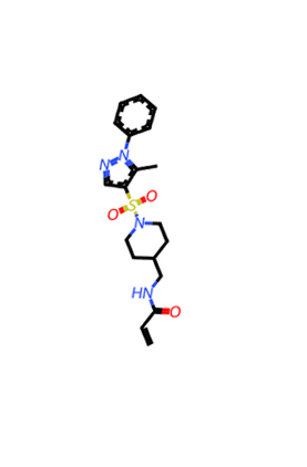 C=CC(=O)NCC1CCN(S(=O)(=O)c2cnn(-c3ccccc3)c2C)CC1